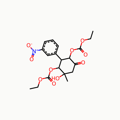 CCOC(=O)OC1C(=O)CC(C)(O)C(OC(=O)OCC)C1c1cccc([N+](=O)[O-])c1